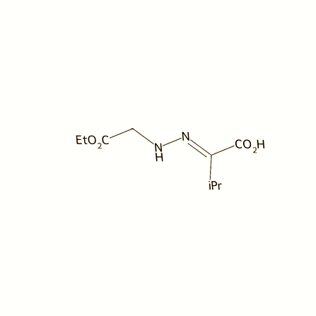 CCOC(=O)CNN=C(C(=O)O)C(C)C